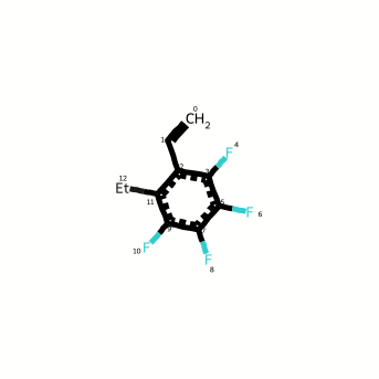 C=Cc1c(F)c(F)c(F)c(F)c1CC